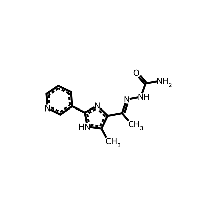 CC(=NNC(N)=O)c1nc(-c2cccnc2)[nH]c1C